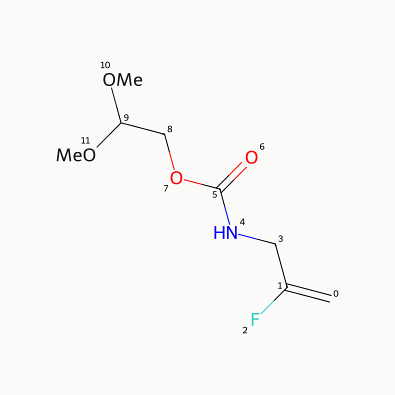 C=C(F)CNC(=O)OCC(OC)OC